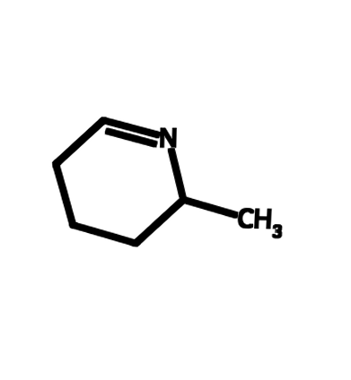 CC1CCCC=N1